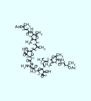 CC(=O)OC(C)C=CC(=O)N[C@@H]1C[C@H](C)[C@H](CC=C(C)C=C[C@H]2O[C@H](CC(=O)NC(N)=NC(=O)C[C@@H]3C[C@@]4(CO4)[C@H](O)[C@@H](C=CC(C)=CC[C@@H]4O[C@H](C)[C@H](NC(=O)C=C[C@H](C)OC(C)=O)C[C@@H]4C)O3)C[C@@]3(CO3)[C@@H]2O)O[C@@H]1C